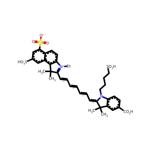 CC[N+]1=C(/C=C/C=C/C=C/C=C2\N(CCCCS(=O)(=O)O)c3ccc(C(=O)O)cc3C2(C)C)C(C)(C)c2c1ccc1c(S(=O)(=O)[O-])cc(S(=O)(=O)O)cc21